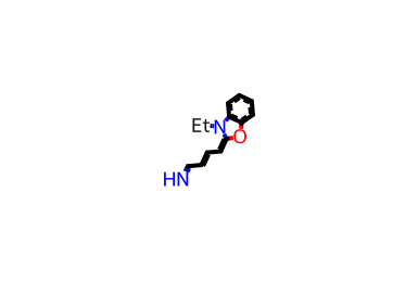 CCN1/C(=C\C=C\C=N)Oc2ccccc21